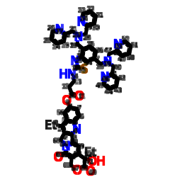 CCc1c2c(nc3ccc(OC(=O)CCNc4nc5c(CN(Cc6ccccn6)Cc6ccccn6)ccc(CN(Cc6ccccn6)Cc6ccccn6)c5s4)cc13)-c1cc3c(c(=O)n1C2)COC(=O)[C@]3(O)CC